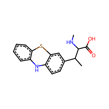 CNC(C(=O)O)C(C)c1ccc2c(c1)Sc1ccccc1N2